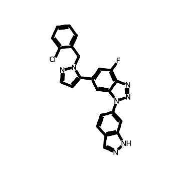 Fc1cc(-c2ccnn2Cc2ccccc2Cl)cc2c1nnn2-c1ccc2cn[nH]c2c1